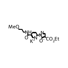 CCOC(=O)c1cnn(-c2ccc(C(=O)NCCCOC)cn2)c1[O-].[K+]